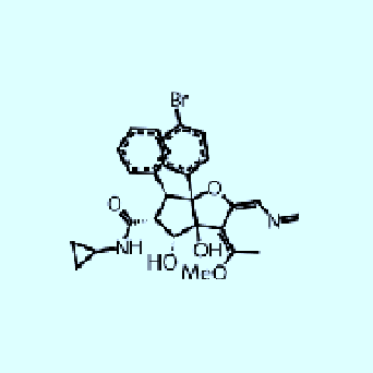 C=N/C=C1/O[C@@]2(c3ccc(Br)cc3)[C@H](c3ccccc3)[C@@H](C(=O)NC3CC3)[C@@H](O)[C@@]2(O)/C1=C(/C)OC